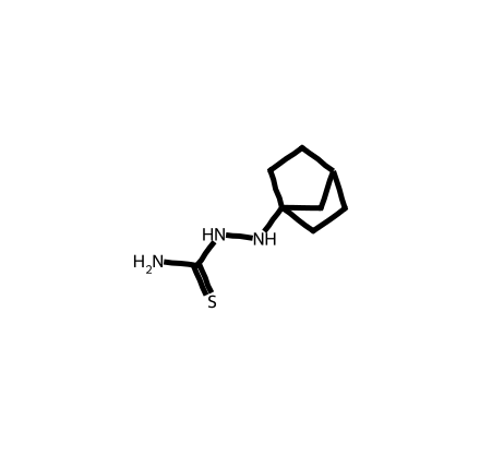 NC(=S)NNC12CCC(CC1)C2